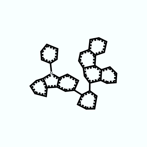 c1ccc(-n2c3ccccc3c3cc(-c4ccccc4-c4cc5ccc6ccccc6c5c5ccccc45)ccc32)cc1